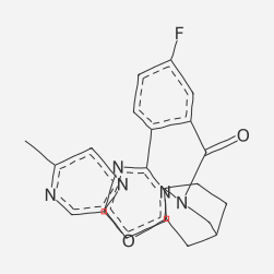 Cc1cnc(OC2CC3CCC2N(C(=O)c2cc(F)ccc2-c2ncccn2)C3)cn1